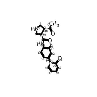 CC(=O)[C@H]1CNC[C@@H]1C(=O)Nc1ccc(-n2ccccc2=O)cc1F